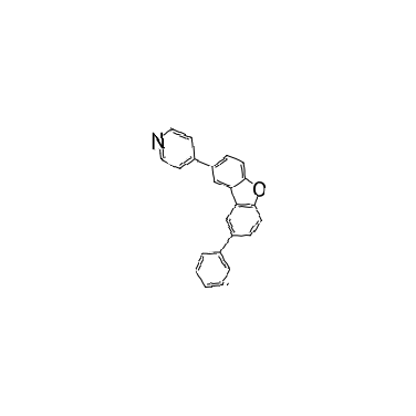 [c]1cccc(-c2ccc3oc4ccc(-c5ccncc5)cc4c3c2)c1